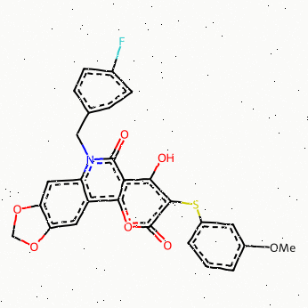 COc1cccc(Sc2c(O)c3c(=O)n(Cc4ccc(F)cc4)c4cc5c(cc4c3oc2=O)OCO5)c1